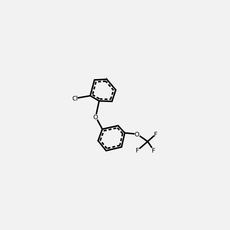 FC(F)(F)Oc1cccc(Oc2cc[c]cc2Cl)c1